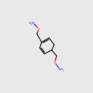 NOCC1=CCC(CON)C=C1